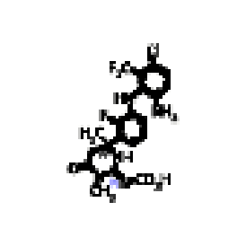 CN1C(=O)C[C@@](C)(c2cccc(Nc3c(N)ccc(Cl)c3C(F)(F)F)c2F)N/C1=N\C(=O)O